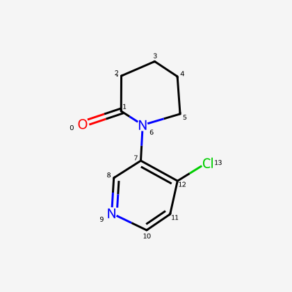 O=C1[CH]CCCN1c1cnccc1Cl